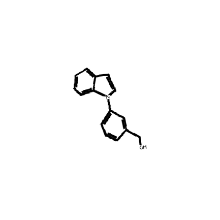 OCc1cccc(-n2ccc3c[c]ccc32)c1